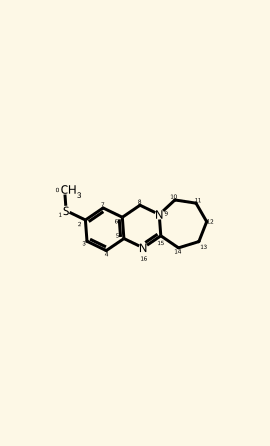 CSc1ccc2c(c1)CN1CCCCCC1=N2